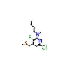 CCCCN(C)c1nc(Cl)cc(CSC)c1F